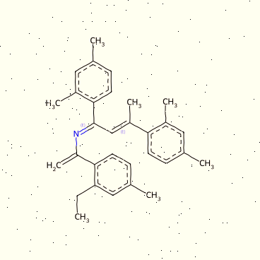 C=C(/N=C(\C=C(/C)c1ccc(C)cc1C)c1ccc(C)cc1C)c1ccc(C)cc1CC